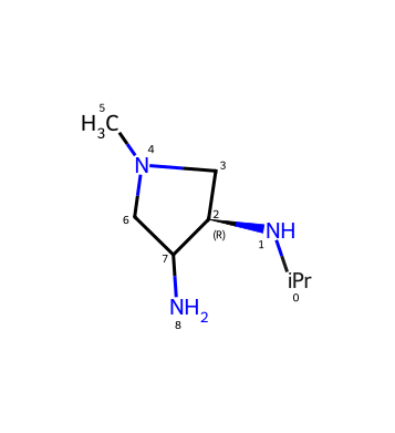 CC(C)N[C@@H]1CN(C)CC1N